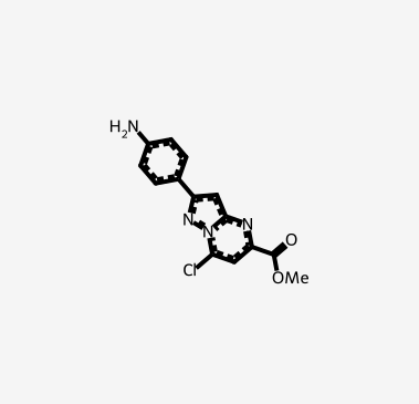 COC(=O)c1cc(Cl)n2nc(-c3ccc(N)cc3)cc2n1